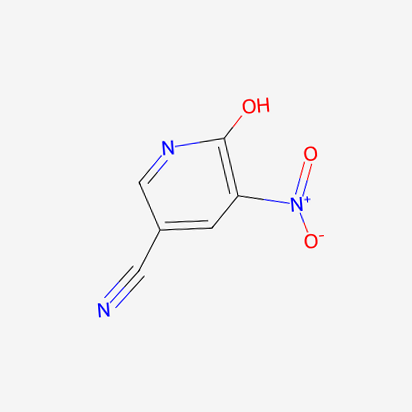 N#Cc1cnc(O)c([N+](=O)[O-])c1